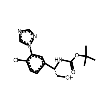 CC(C)(C)OC(=O)N[C@H](CO)c1ccc(Cl)c(-n2cncn2)c1